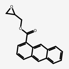 O=C(OCC1CO1)c1cccc2cc3ccccc3cc12